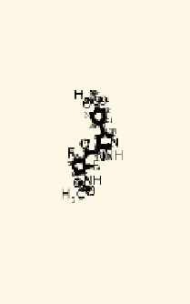 CS(=O)(=O)Nc1ccc(F)c(C(=O)c2n[nH]c3ncc(-c4ccc(S(N)(=O)=O)cc4)cc23)c1F